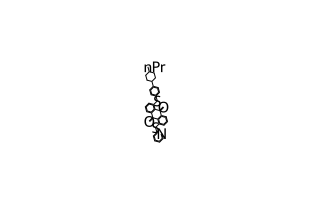 CCCC1CCC(c2ccc(Sc3cccc4c3C(=O)c3cccc(Sc5ccccn5)c3C4=O)cc2)CC1